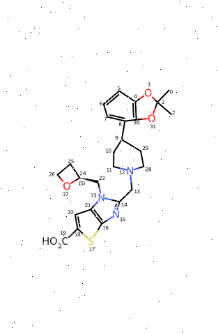 CC1(C)Oc2cccc(C3CCN(Cc4nc5sc(C(=O)O)cc5n4C[C@@H]4CCO4)CC3)c2O1